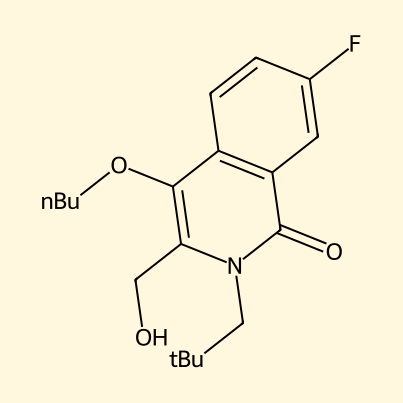 CCCCOc1c(CO)n(CC(C)(C)C)c(=O)c2cc(F)ccc12